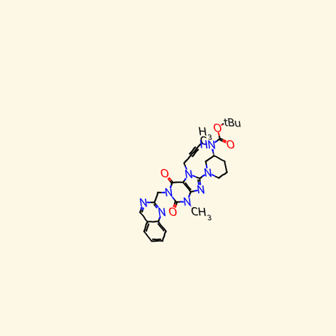 CC#CCn1c(N2CCC[C@H](NC(=O)OC(C)(C)C)C2)nc2c1c(=O)n(Cc1ncc3ccccc3n1)c(=O)n2C